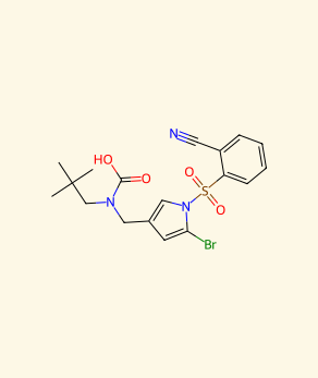 CC(C)(C)CN(Cc1cc(Br)n(S(=O)(=O)c2ccccc2C#N)c1)C(=O)O